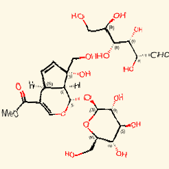 COC(=O)C1=CO[C@@H](O[C@@H]2O[C@H](CO)[C@@H](O)[C@H](O)[C@H]2O)[C@H]2[C@@H]1C=C[C@@]2(O)CO.O=C[C@H](O)[C@@H](O)[C@H](O)[C@H](O)CO